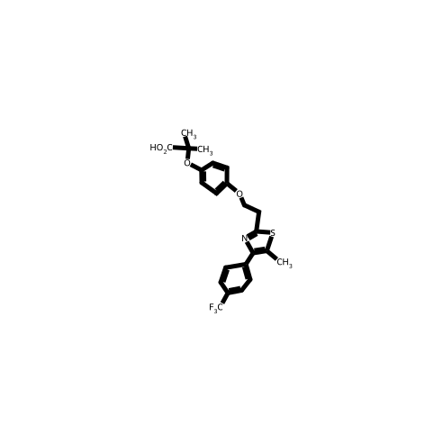 Cc1sc(CCOc2ccc(OC(C)(C)C(=O)O)cc2)nc1-c1ccc(C(F)(F)F)cc1